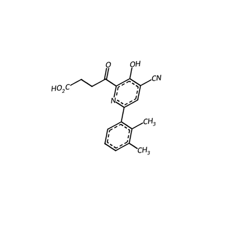 Cc1cccc(-c2cc(C#N)c(O)c(C(=O)CCC(=O)O)n2)c1C